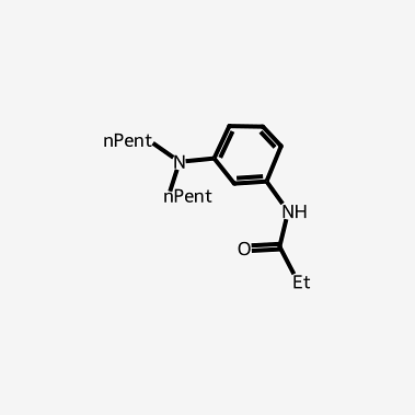 CCCCCN(CCCCC)c1cccc(NC(=O)CC)c1